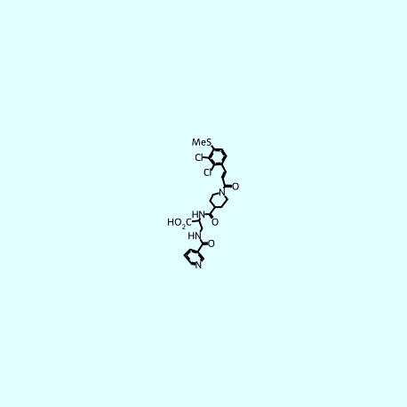 CSc1ccc(C=CC(=O)N2CCC(C(=O)NC(CNC(=O)c3cccnc3)C(=O)O)CC2)c(Cl)c1Cl